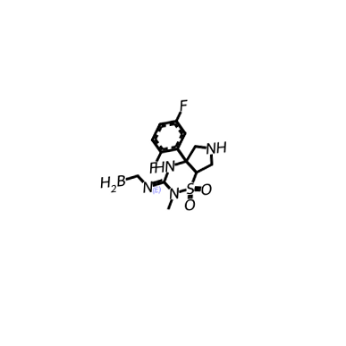 BC/N=C1\NC2(c3cc(F)ccc3F)CNCC2S(=O)(=O)N1C